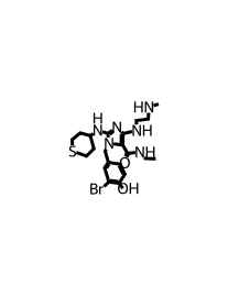 CCNC(=O)c1c(NCCNC)nc(NC2CCSCC2)n1Cc1ccc(O)c(Br)c1